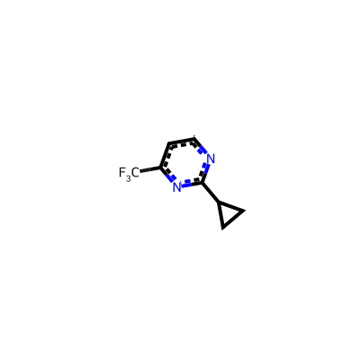 FC(F)(F)c1c[c]nc(C2CC2)n1